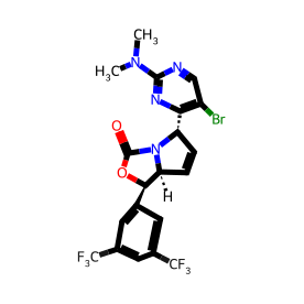 CN(C)c1ncc(Br)c([C@@H]2C=C[C@H]3[C@@H](c4cc(C(F)(F)F)cc(C(F)(F)F)c4)OC(=O)N23)n1